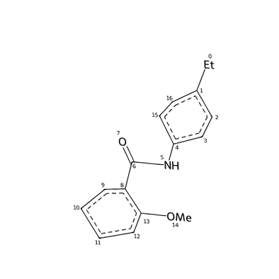 CCc1ccc(NC(=O)c2ccccc2OC)cc1